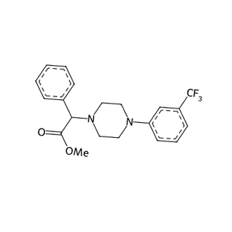 COC(=O)C(c1ccccc1)N1CCN(c2cccc(C(F)(F)F)c2)CC1